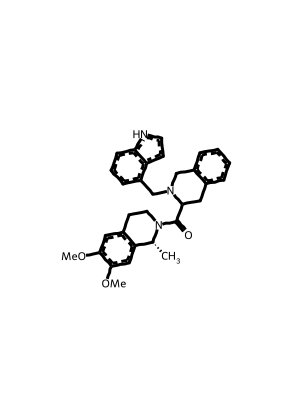 COc1cc2c(cc1OC)[C@@H](C)N(C(=O)C1Cc3ccccc3CN1Cc1cccc3[nH]ccc13)CC2